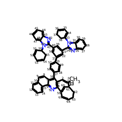 CC1=Cc2c(nc3c(ccc4ccccc43)c2-c2ccc(-c3cc(-c4nc5ccccc5n4C4=CC=CCC4)cc(-c4nc5ccccc5n4C4C=CC=CC4)c3)cc2)C2=C[C@@H]1CCC=C2